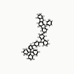 c1ccc(-n2c3ccc(-c4ccc5c(c4)-c4ccccc4C5c4ccc(-c5cccc(C(c6ccccc6)(c6ccccc6)c6ccccc6)c5)cc4)cc3c3ccc4c(c32)Cc2ccccc2-4)cc1